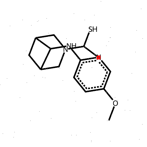 COc1ccc(NC2C3CC2CN(C(C)S)C3)nc1